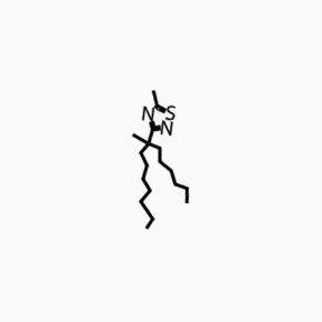 CCCCCCCC(C)(CCCCCC)c1nsc(C)n1